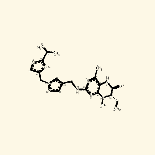 CC[C@H]1C(=O)Nc2c(C)nc(NCc3cnn(Cc4cnc(C(C)C)o4)c3)nc2N1C